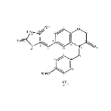 COc1ccc(CN2C(=O)COc3ccc(/C=C4/SC(=S)NC4=O)cc32)cc1C(F)(F)F